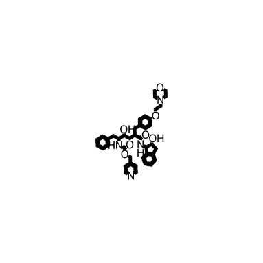 O=C(NC(Cc1ccccc1)C(O)CC(Cc1ccc(OCCN2CCOCC2)cc1)C(=O)NC1c2ccccc2CC1O)OCc1ccncc1